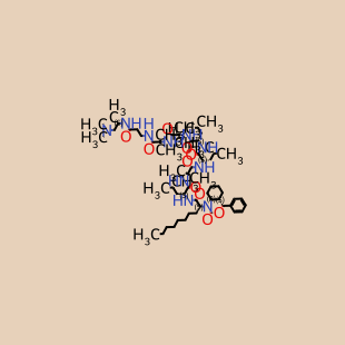 CCCCCCCC[C@@H](C(=O)N[C@@H](CC(C)C)C(=O)NC(C)(C)C(=O)N[C@@H](CC(C)C)C(=O)N[C@@H](CC(C)C)C(=O)NC(C)(C)C(=O)NC(C)(C)C(=O)NCCC(=O)N[C@@H](C)CN(C)C)N(C=O)[C@@H]1CCCC[C@@H]1C(=O)c1ccccc1